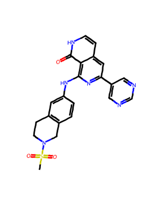 CS(=O)(=O)N1CCc2cc(Nc3nc(-c4cncnc4)cc4cc[nH]c(=O)c34)ccc2C1